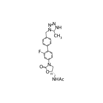 CC(=O)NC[C@H]1CN(c2ccc(-c3ccc(CN4N=NNC4C)cc3)c(F)c2)C(=O)O1